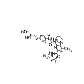 Cc1nc(C(=O)N[C@H](C)C(F)(F)F)nc2c1N1CCC[C@@H](C1)N2C(=O)Nc1ccc(OC[C@@H](O)CO)cn1